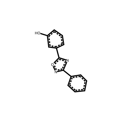 Oc1cccc(-c2nc(-c3ccccc3)no2)c1